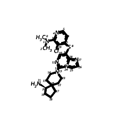 CN(C)c1nccc(Sc2cnc(N3CCC4(CCC[C@H]4N)CC3)n3ccnc23)c1Cl